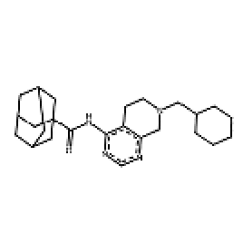 O=C(Nc1ncnc2c1CCN(CC1CCCCC1)C2)C12CC3CC(CC(C3)C1)C2